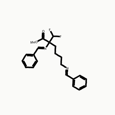 COC(=O)C(CCCCN=Cc1ccccc1)(N=Cc1ccccc1)C(F)F